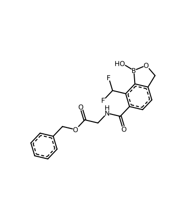 O=C(CNC(=O)c1ccc2c(c1C(F)F)B(O)OC2)OCc1ccccc1